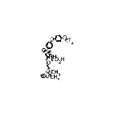 CC(C)(C)[Si](C)(C)OCCOCC(CS(=O)(=O)c1ccc(Oc2ccc(OC(F)(F)F)cc2)cc1)NC(=O)O